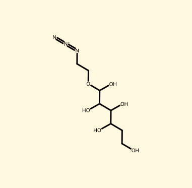 [N-]=[N+]=NCCOC(O)C(O)C(O)C(O)CCO